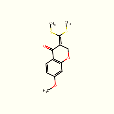 COc1ccc2c(c1)OCC(=C(SC)SC)C2=O